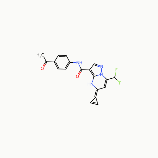 CC(=O)c1ccc(NC(=O)c2cnn3c2NC(=C2C=C2)C=C3C(F)F)cc1